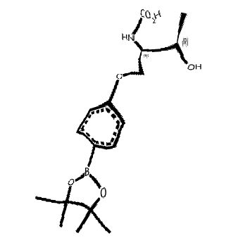 C[C@@H](O)[C@@H](COc1ccc(B2OC(C)(C)C(C)(C)O2)cc1)NC(=O)O